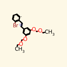 CCOCOc1cc(/C=C/c2[c]cccc2Br)cc(OCOCC)c1